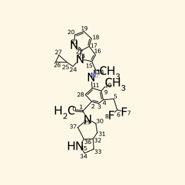 C=C(c1cc(CC(F)F)c(C)c(/N=C(\C)c2cc3cccnc3n2CC2CC2)c1)N1CCC2CCNC2C1